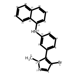 Cn1ncc(Br)c1-c1cccc(Nc2cccc3ccccc23)c1